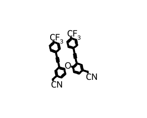 N#CCc1ccc(Oc2ccc(CC#N)cc2C#Cc2ccc(C(F)(F)F)cc2)c(C#Cc2ccc(C(F)(F)F)cc2)c1